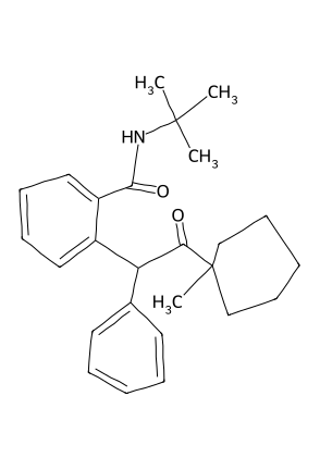 CC(C)(C)NC(=O)c1ccccc1C(C(=O)C1(C)CCCCC1)c1ccccc1